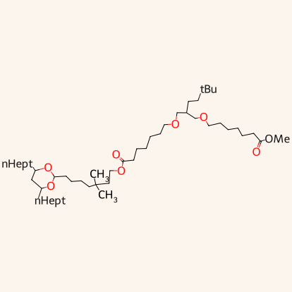 CCCCCCCC1CC(CCCCCCC)OC(CCCCC(C)(C)CCOC(=O)CCCCCCOCC(CCC(C)(C)C)COCCCCCCC(=O)OC)O1